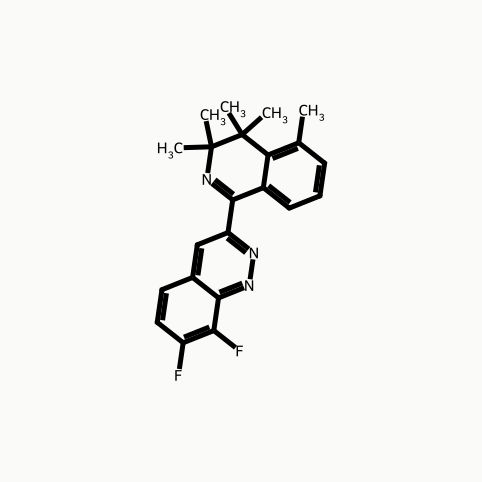 Cc1cccc2c1C(C)(C)C(C)(C)N=C2c1cc2ccc(F)c(F)c2nn1